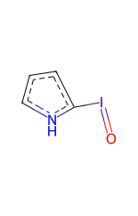 O=Ic1ccc[nH]1